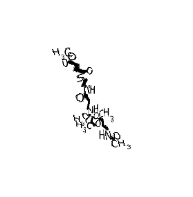 COC(=O)CCC(=O)SCCNC(=O)CCNC(=O)[C@@H]1OC(C)(CCCNC(C)=O)OCC1(C)C